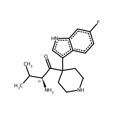 CC(C)[C@H](N)C(=O)C1(c2c[nH]c3cc(F)ccc23)CCNCC1